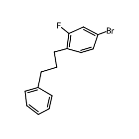 Fc1cc(Br)ccc1CCCc1ccccc1